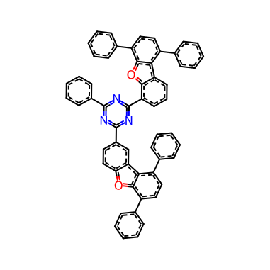 c1ccc(-c2nc(-c3ccc4oc5c(-c6ccccc6)ccc(-c6ccccc6)c5c4c3)nc(-c3cccc4c3oc3c(-c5ccccc5)ccc(-c5ccccc5)c34)n2)cc1